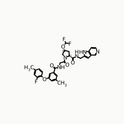 Cc1cc(Oc2ccc(C)cc2F)cc(C(=O)NCC(=O)N2C[C@H](OC(F)F)C[C@H]2C(=O)NCc2cc3cnccc3[nH]2)c1